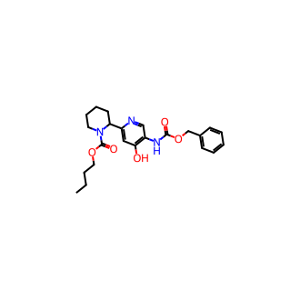 CCCCOC(=O)N1CCCCC1c1cc(O)c(NC(=O)OCc2ccccc2)cn1